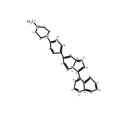 CN1CCN(c2ccc(-c3ccn4c(-c5ccnc6ccccc56)cnc4c3)cn2)CC1